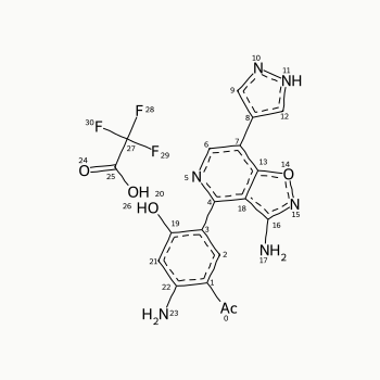 CC(=O)c1cc(-c2ncc(-c3cn[nH]c3)c3onc(N)c23)c(O)cc1N.O=C(O)C(F)(F)F